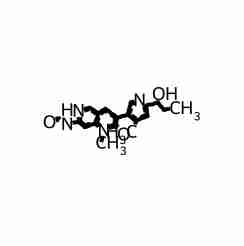 CCC(O)c1cc(C)c(-c2cc3cnc(NC=O)cc3n(C)c2=O)cn1